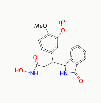 CCCOc1cc(C(CC(=O)NO)C2NC(=O)c3ccccc32)ccc1OC